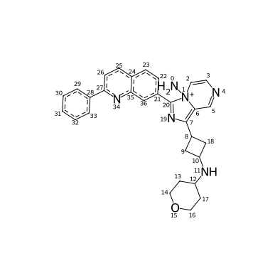 N[N+]12C=CN=CC1=C(C1CC(NC3CCOCC3)C1)N=C2c1ccc2ccc(-c3ccccc3)nc2c1